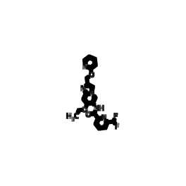 CCOc1cc2nc(COc3ccccn3)cn2cc1NC(=O)c1cccc(C(F)F)n1